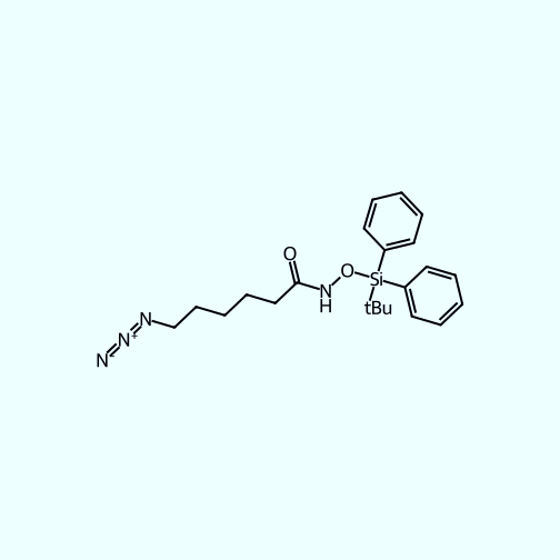 CC(C)(C)[Si](ONC(=O)CCCCCN=[N+]=[N-])(c1ccccc1)c1ccccc1